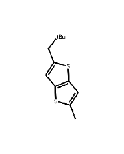 Cc1cc2sc(CC(C)(C)C)cc2s1